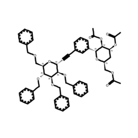 CC(=O)OC[C@@H]1C[C@H](OC(C)=O)[C@H](OC(C)=O)[C@@H](c2cccc(C#C[C@H]3O[C@H](COCc4ccccc4)[C@@H](OCc4ccccc4)[C@H](OCc4ccccc4)[C@@H]3OCc3ccccc3)c2)O1